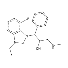 CCN1[CH]N(C(c2ccccc2)C(O)CNC)c2c(F)cccc21